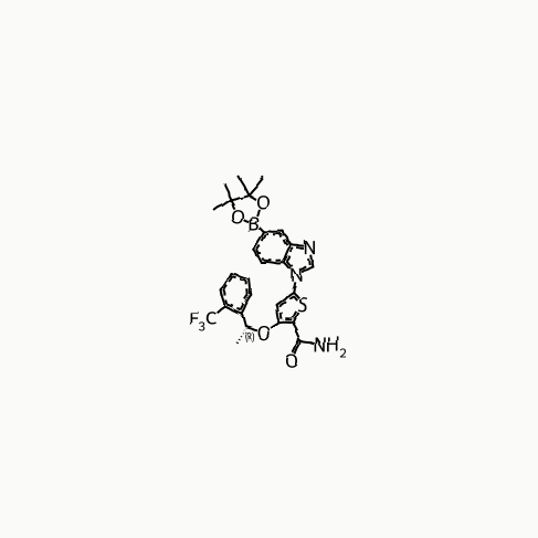 C[C@@H](Oc1cc(-n2cnc3cc(B4OC(C)(C)C(C)(C)O4)ccc32)sc1C(N)=O)c1ccccc1C(F)(F)F